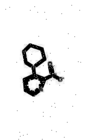 O=[N+]([O-])c1ncccc1N1CCCCC1